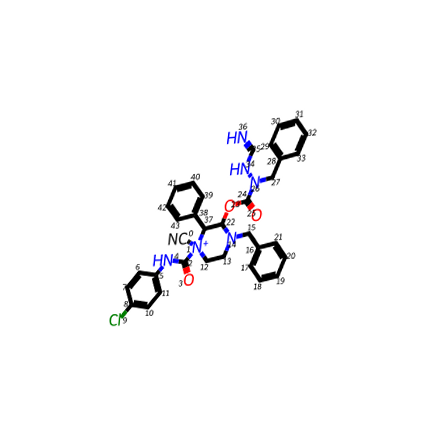 N#C[N+]1(C(=O)Nc2ccc(Cl)cc2)CCN(Cc2ccccc2)C(OC(=O)N(Cc2ccccc2)NC=N)C1c1ccccc1